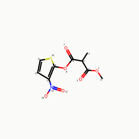 COC(=O)C(C)C(=O)Oc1sccc1[N+](=O)[O-]